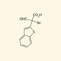 CC(=O)C([C]=O)(C(=O)O)c1cc2ccccc2s1